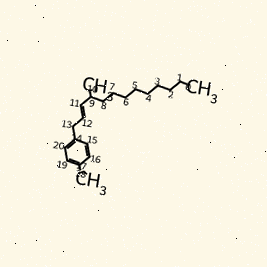 CCCCCCCCCC(C)/C=C/Cc1ccc(C)cc1